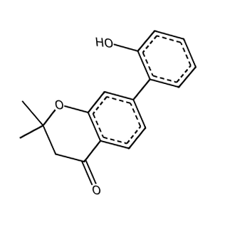 CC1(C)CC(=O)c2ccc(-c3ccccc3O)cc2O1